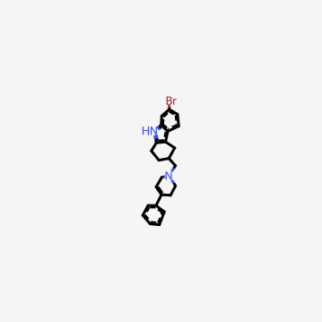 Brc1ccc2c3c([nH]c2c1)CCC(CN1CC=C(c2ccccc2)CC1)C3